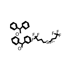 FC(F)(F)CC[CH2][Sn+2][CH2]CCC(F)(F)F.[O-]CC(c1ccccc1)c1ccccc1.[O-]CC(c1ccccc1)c1ccccc1